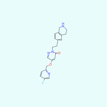 O=c1cc(OCc2ccc(F)cn2)cnn1CCc1ccc2c(c1)CCNC2